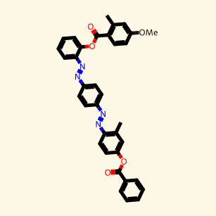 COc1ccc(C(=O)Oc2ccccc2N=Nc2ccc(N=Nc3ccc(OC(=O)c4ccccc4)cc3C)cc2)c(C)c1